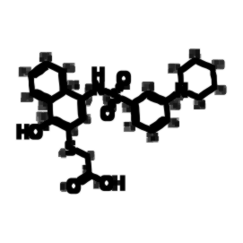 O=C(O)CSc1cc(NS(=O)(=O)c2cccc(N3CCCCC3)c2)c2ccccc2c1O